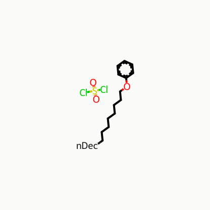 CCCCCCCCCCCCCCCCCCOc1ccccc1.O=S(=O)(Cl)Cl